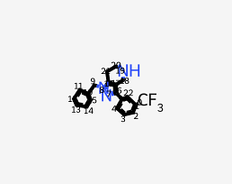 FC(F)(F)c1cccc(-c2nn(Cc3ccccc3)c3c2CNCC3)c1